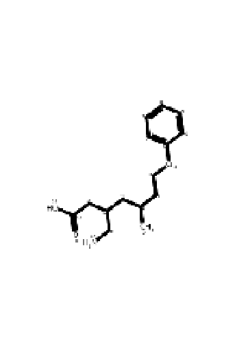 CC(CCOc1ccccc1)CC(CN)CC(=O)O